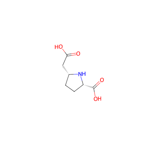 O=C(O)C[C@H]1CC[C@@H](C(=O)O)N1